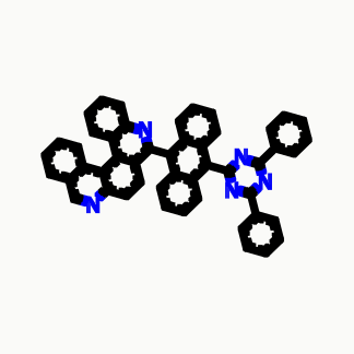 c1ccc(-c2nc(-c3ccccc3)nc(-c3c4ccccc4c(-c4nc5ccccc5c5c4ccc4ncc6ccccc6c45)c4ccccc34)n2)cc1